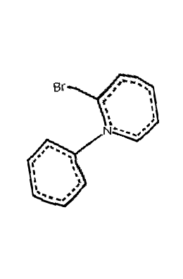 Brc1cccc[n+]1-c1ccccc1